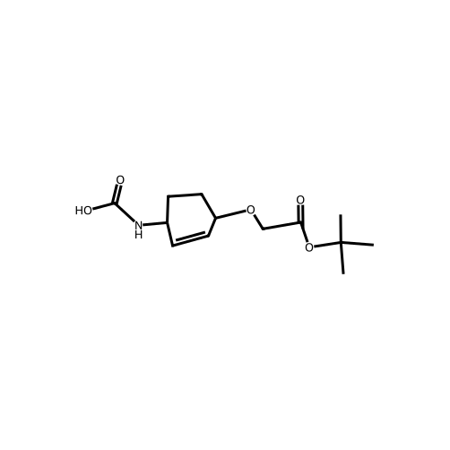 CC(C)(C)OC(=O)COC1C=CC(NC(=O)O)CC1